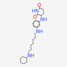 O=C1CCC(Nc2cccc(NCCCCCCCNC3CCCCC3)c2)C(=O)N1